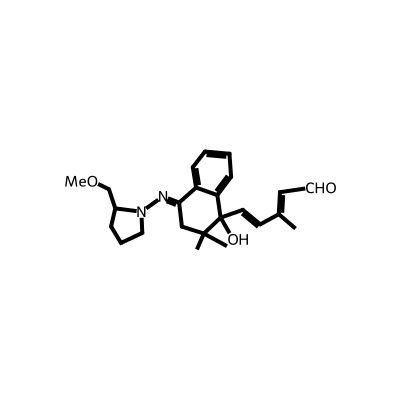 COCC1CCCN1N=C1CC(C)(C)C(O)(C=CC(C)=CC=O)c2ccccc21